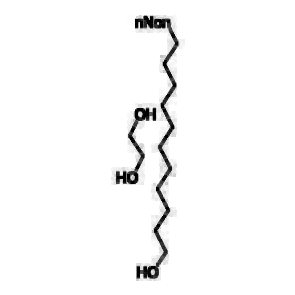 CCCCCCCCCCCCCCCCCCCCO.OCCO